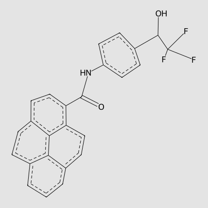 O=C(Nc1ccc(C(O)C(F)(F)F)cc1)c1ccc2ccc3cccc4ccc1c2c34